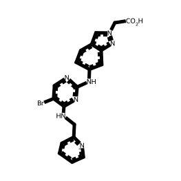 O=C(O)Cn1cc2ccc(Nc3ncc(Br)c(NCc4ccccn4)n3)cc2n1